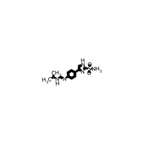 CC(C)N/C=N/c1ccc(-c2c[nH]c(S(N)(=O)=O)n2)cc1